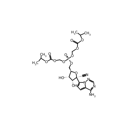 CC(C)OC(=O)OCOP(=O)(OCOC(=O)OC(C)C)OC[C@H]1O[C@@](C#N)(c2ccc3c(N)ncnn23)[C@H](O)[C@@H]1O